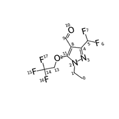 CCn1nc(C(F)F)c(C=O)c1OCC(F)(F)F